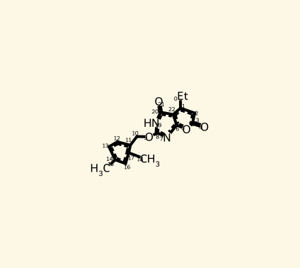 CCc1cc(=O)oc2nc(OCc3ccc(C)cc3C)[nH]c(=O)c12